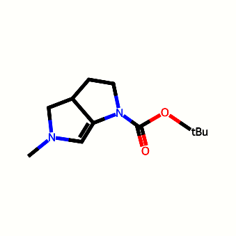 CN1C=C2C(CCN2C(=O)OC(C)(C)C)C1